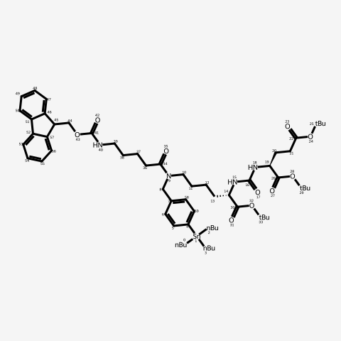 CCC[CH2][Sn]([CH2]CCC)([CH2]CCC)[c]1ccc(CN(CCCC[C@H](NC(=O)N[C@@H](CCC(=O)OC(C)(C)C)C(=O)OC(C)(C)C)C(=O)OC(C)(C)C)C(=O)CCCCNC(=O)OCC2c3ccccc3-c3ccccc32)cc1